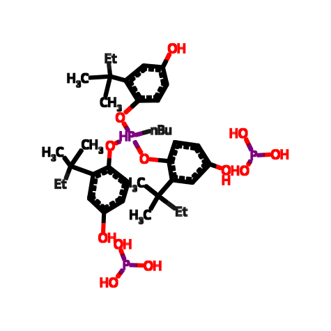 CCCC[PH](Oc1ccc(O)cc1C(C)(C)CC)(Oc1ccc(O)cc1C(C)(C)CC)Oc1ccc(O)cc1C(C)(C)CC.OP(O)O.OP(O)O